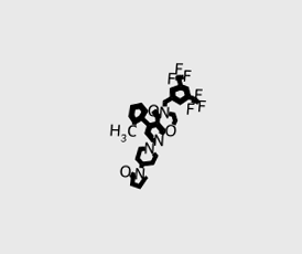 Cc1ccccc1-c1cc(N2CCC(N3CCCC3=O)CC2)nc2c1C(=O)N(Cc1cc(C(F)(F)F)cc(C(F)(F)F)c1)CCO2